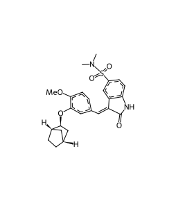 COc1ccc(/C=C2/C(=O)Nc3ccc(S(=O)(=O)N(C)C)cc32)cc1O[C@H]1C[C@@H]2CC[C@H]1C2